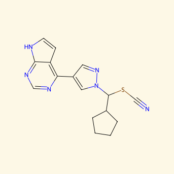 N#CSC(C1CCCC1)n1cc(-c2ncnc3[nH]ccc23)cn1